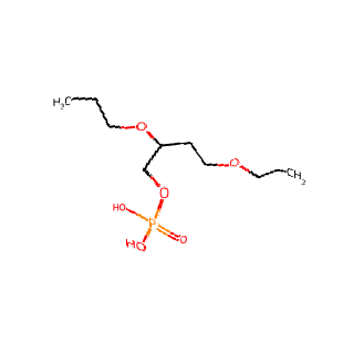 CCCOC(CCOCC)COP(=O)(O)O